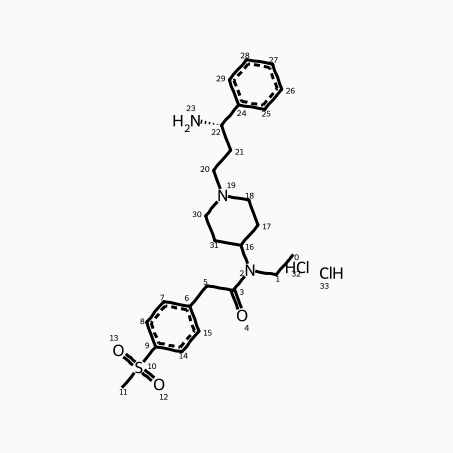 CCN(C(=O)Cc1ccc(S(C)(=O)=O)cc1)C1CCN(CC[C@H](N)c2ccccc2)CC1.Cl.Cl